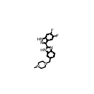 CN1CCN(Cc2ccc3nc(-c4n[nH]c5cc(F)c(F)cc45)[nH]c3c2)CC1